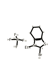 CCN1C2=C(CCCC2)SC1Br.F[B-](F)(F)F